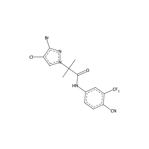 CC(C)(C(=O)Nc1ccc(C#N)c(C(F)(F)F)c1)n1cc(Cl)c(Br)n1